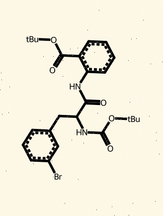 CC(C)(C)OC(=O)NC(Cc1cccc(Br)c1)C(=O)Nc1ccccc1C(=O)OC(C)(C)C